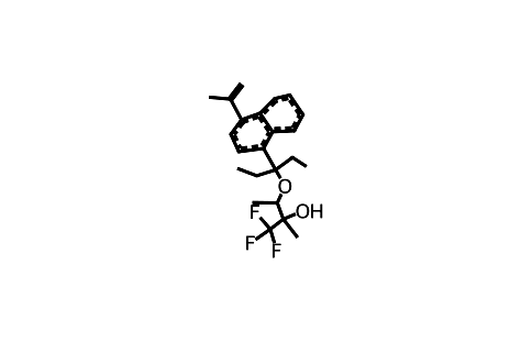 C=C(C)c1ccc(C(CC)(CC)OC(C)C(C)(O)C(F)(F)F)c2ccccc12